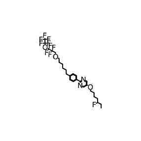 CCC(F)CCCCOc1cnc(-c2ccc(CCCCCCOCC(F)(F)C(F)(F)OC(F)(F)C(F)(F)F)cc2)nc1